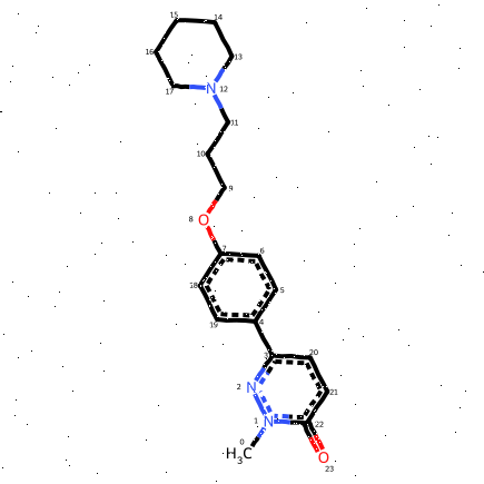 Cn1nc(-c2ccc(OCCCN3CCCCC3)cc2)ccc1=O